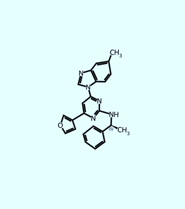 Cc1ccc2c(c1)ncn2-c1cc(-c2ccoc2)nc(N[C@@H](C)c2ccccc2)n1